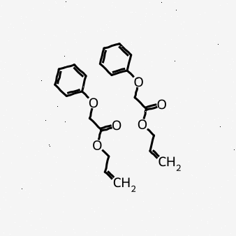 C=CCOC(=O)COc1ccccc1.C=CCOC(=O)COc1ccccc1